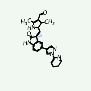 CC1=C(C=O)C(C)C(/C=C2\C(=O)Nc3ccc(-c4cnn(C5=CCCC=N5)c4)cc32)N1